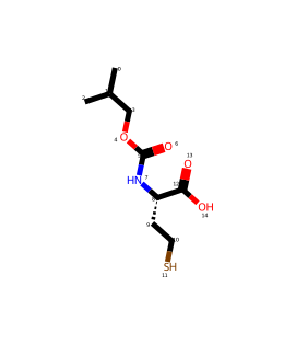 CC(C)COC(=O)N[C@@H](CCS)C(=O)O